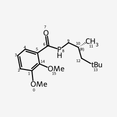 COc1cccc(C(=O)PC[C@H](C)CC(C)(C)C)c1OC